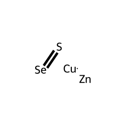 S=[Se].[Cu].[Zn]